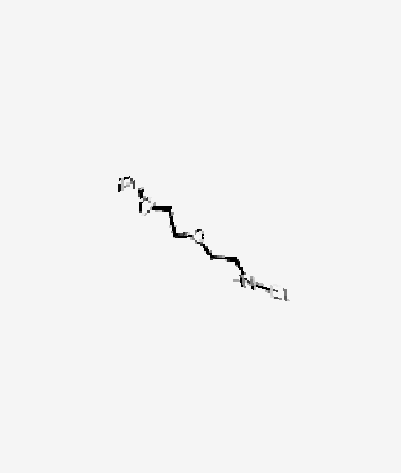 CCNCCOCCOC(C)C